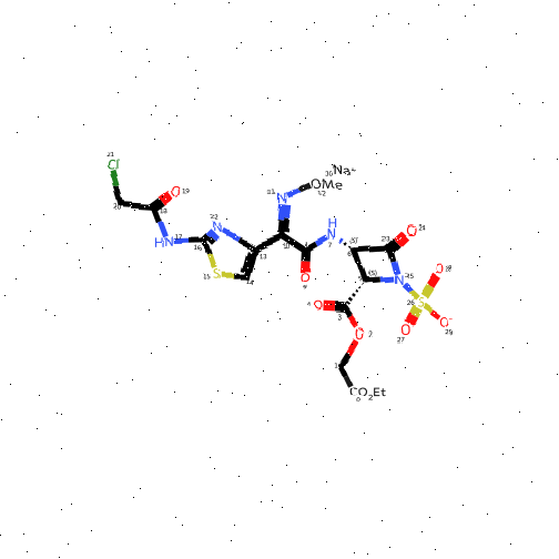 CCOC(=O)COC(=O)[C@@H]1[C@H](NC(=O)C(=NOC)c2csc(NC(=O)CCl)n2)C(=O)N1S(=O)(=O)[O-].[Na+]